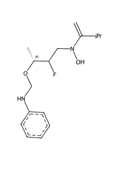 C=C(C(C)C)N(O)CC(F)[C@@H](C)OCNc1ccccc1